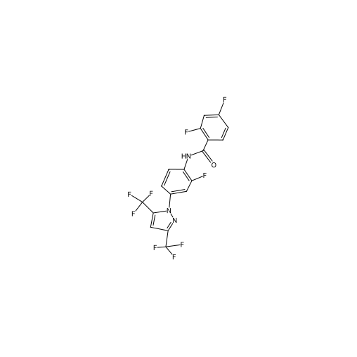 O=C(Nc1ccc(-n2nc(C(F)(F)F)cc2C(F)(F)F)cc1F)c1ccc(F)cc1F